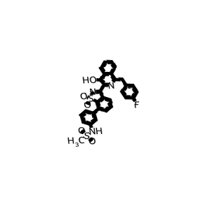 CS(=O)(=O)Nc1cccc(-c2cccc3c2S(=O)(=O)N=C3c2nc(Cc3ccc(F)cc3)c3ccccc3c2O)c1